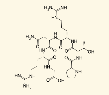 C[C@@H](O)[C@H](NC(=O)[C@@H]1CCCN1)C(=O)N[C@@H](CCCNC(=N)N)C(=O)N[C@@H](CC(N)=O)C(=O)N[C@@H](CCCNC(=N)N)C(=O)NCC(=O)O